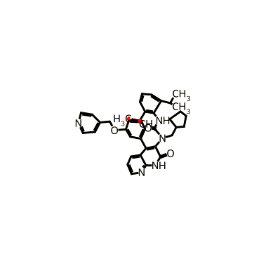 CC(C)c1cccc(C(C)C)c1NC(=O)N(CC1CCCC1)c1c(-c2cccc(OCc3ccncc3)c2)c2cccnc2[nH]c1=O